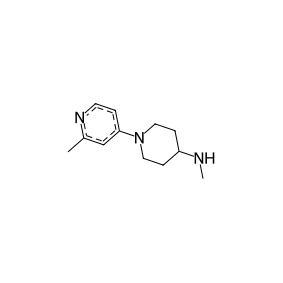 CNC1CCN(c2ccnc(C)c2)CC1